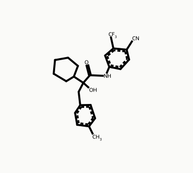 Cc1ccc(CC(O)(C(=O)Nc2ccc(C#N)c(C(F)(F)F)c2)C2CCCCC2)cc1